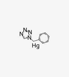 [Hg].c1ccc(Cn2cnnn2)cc1